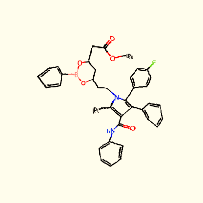 CC(C)c1c(C(=O)Nc2ccccc2)c(-c2ccccc2)c(-c2ccc(F)cc2)n1CCC1CC(CC(=O)OC(C)(C)C)OB(c2ccccc2)O1